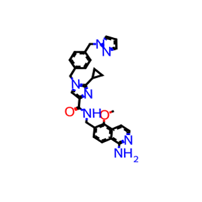 COc1c(CNC(=O)c2cn(Cc3ccc(Cn4cccn4)cc3)c(C3CC3)n2)ccc2c(N)nccc12